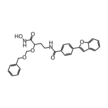 O=C(NCCC(OCOCc1ccccc1)C(=O)NO)c1ccc(-c2cc3ccccc3o2)cc1